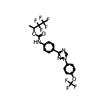 CC(OC(=O)Nc1ccc(-c2ncn(-c3ccc(OC(F)(F)F)cc3)n2)cc1)C(F)(F)C(F)(F)F